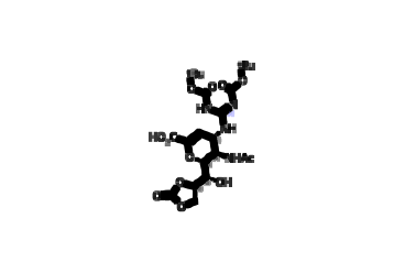 CC(=O)N[C@H]1[C@H]([C@H](O)[C@H]2COC(=O)O2)OC(C(=O)O)=C[C@@H]1N/C(=N/C(=O)OC(C)(C)C)NC(=O)OC(C)(C)C